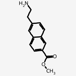 COC(=O)c1ccc2cc(CCN)ccc2c1